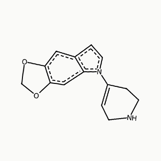 C1=C(n2ccc3cc4c(cc32)OCO4)CCNC1